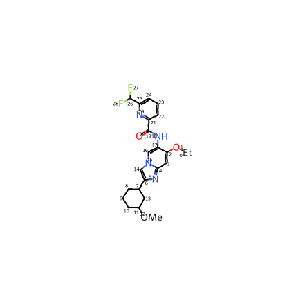 CCOc1cc2nc(C3CCCC(OC)C3)cn2cc1NC(=O)c1cccc(C(F)F)n1